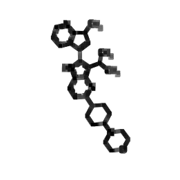 CC(C)c1c(C2=CC(C)c3ncccc32)[nH]c2ccc(C3CCC(N4CCOCC4)CC3)nc12